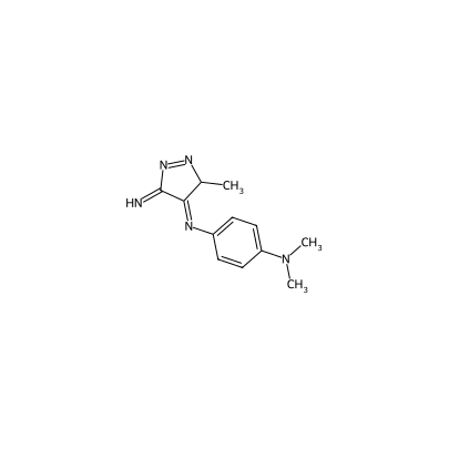 CC1N=NC(=N)C1=Nc1ccc(N(C)C)cc1